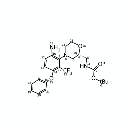 CC(C)(C)OC(=O)NC[C@@H]1CN(c2c(N)ccc(Oc3ccccc3)c2C(F)(F)F)CCO1